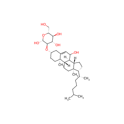 CC(C)CCC[C@@H](C)[C@H]1CC[C@H]2[C@@H]3C(O)C=C4C[C@@H](O[C@@H]5[C@@H](O)[C@H](O)[C@@H](CO)O[C@H]5O)CC[C@]4(C)[C@H]3CC[C@]12C